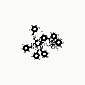 CC(C)(C)[Si](OCc1cc(F)cc(C2(O)O[C@H](COCc3ccccc3)[C@@H](OCc3ccccc3)[C@H](OCc3ccccc3)[C@H]2OCc2ccccc2)c1)(c1ccccc1)c1ccccc1